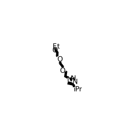 CCOCCOCCOCCn1cc(C(C)C)nn1